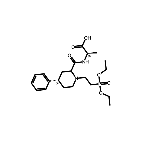 CCOP(=O)(CCN1CC[C@H](c2ccccc2)CC1C(=O)N[C@H](C)C(=O)O)OCC